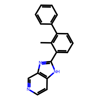 Cc1c(-c2ccccc2)cccc1-c1nc2cnccc2[nH]1